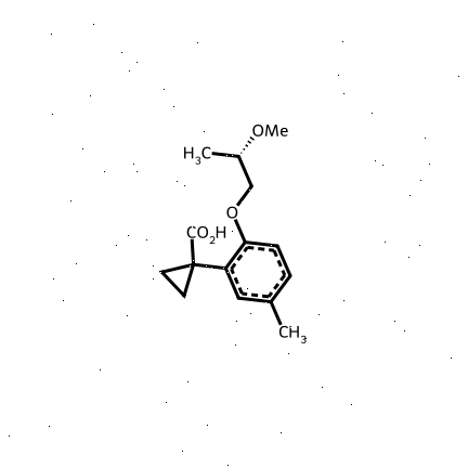 CO[C@@H](C)COc1ccc(C)cc1C1(C(=O)O)CC1